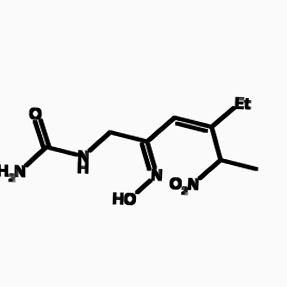 CCC(=CC(CNC(N)=O)=NO)C(C)[N+](=O)[O-]